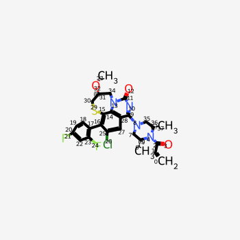 C=CC(=O)N1[C@H](C)CN(c2nc(=O)n3c4c(c(-c5ccc(F)cc5F)c(Cl)cc24)SC[C@H](OC)C3)C[C@@H]1C